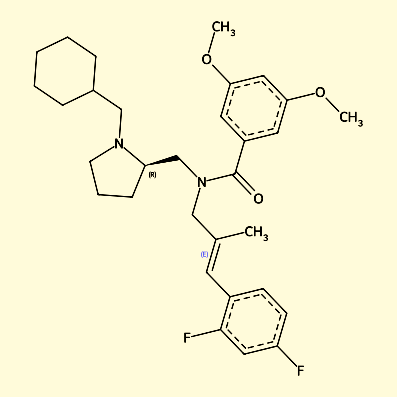 COc1cc(OC)cc(C(=O)N(C/C(C)=C/c2ccc(F)cc2F)C[C@H]2CCCN2CC2CCCCC2)c1